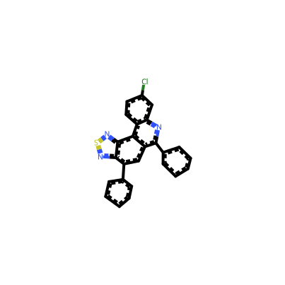 Clc1ccc2c(c1)nc(-c1ccccc1)c1cc(-c3ccccc3)c3nsnc3c12